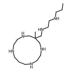 CCCNCCNCC1(C)CNCCNCCCNCCNC1